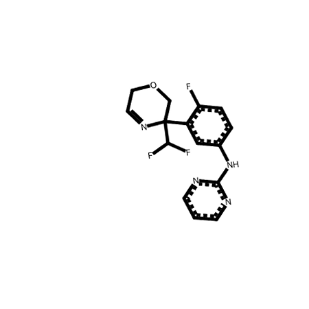 Fc1ccc(Nc2ncccn2)cc1C1(C(F)F)COCC=N1